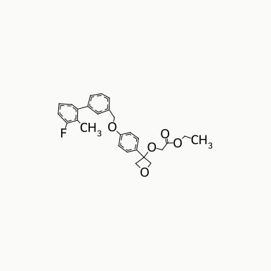 CCOC(=O)COC1(c2ccc(OCc3cccc(-c4cccc(F)c4C)c3)cc2)COC1